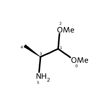 COC(OC)[C@H](C)N